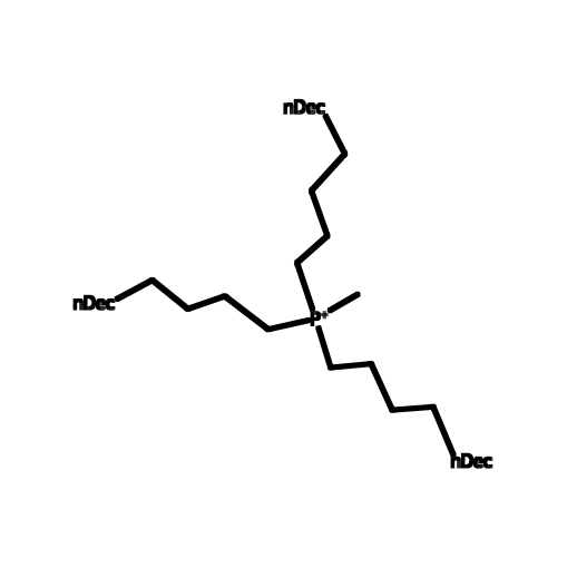 CCCCCCCCCCCCCC[P+](C)(CCCCCCCCCCCCCC)CCCCCCCCCCCCCC